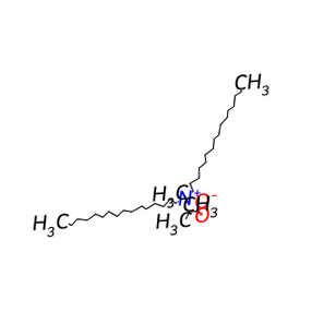 CCC(=O)[O-].CCCCCCCCCCCCCCCC[N+](C)(C)CCCCCCCCCCCCCCCC